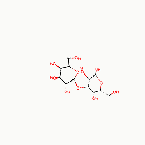 OC[C@H]1O[C@@H](O[C@H]2[C@@H](O)[C@@H](CO)OC(O)[C@@H]2O)[C@H](O)[C@@H](O)[C@H]1O